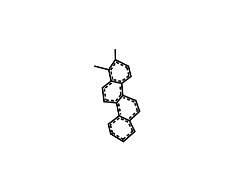 Cc1ccc2c(ccc3c4ccccc4ccc23)c1C